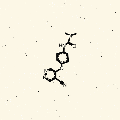 CN(C)C(=O)Nc1ccc(Oc2cnncc2C#N)cc1